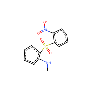 CNc1ccccc1S(=O)(=O)c1ccccc1[N+](=O)[O-]